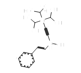 CC(C)[Si](C#C[SiH](C)C=Cc1ccccc1)(C(C)C)C(C)C